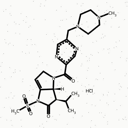 CC(C)[C@H]1C(=O)N(S(C)(=O)=O)C2=CCN(C(=O)c3cnc(CN4CCN(C)CC4)cn3)[C@@H]21.Cl